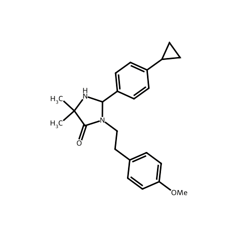 COc1ccc(CCN2C(=O)C(C)(C)NC2c2ccc(C3CC3)cc2)cc1